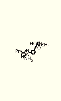 CC(C)Cc1cnc(N)c2nc(-c3cccc(C#C[C@]4(O)CCN(C)C4=O)c3)ncc12